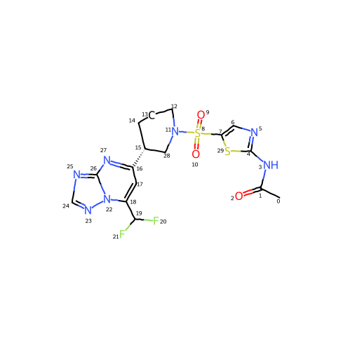 CC(=O)Nc1ncc(S(=O)(=O)N2CCC[C@@H](c3cc(C(F)F)n4ncnc4n3)C2)s1